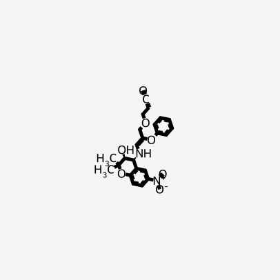 CC1(C)Oc2ccc([N+](=O)[O-])cc2[C@@H](NC=C(COCC=C=O)Oc2ccccc2)[C@@H]1O